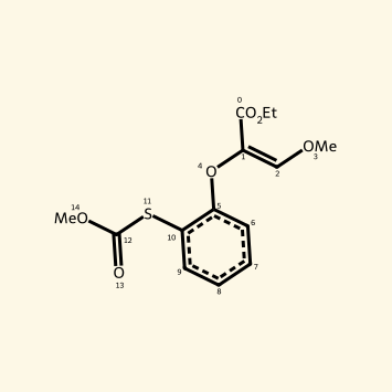 CCOC(=O)C(=COC)Oc1ccccc1SC(=O)OC